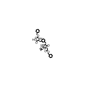 CC(C)(C)OC(=O)N[C@@H](Cc1cccc(C[C@H](NC(=O)OCc2ccccc2)C(=O)O)c1)C(=O)NCC(=O)OCc1ccccc1